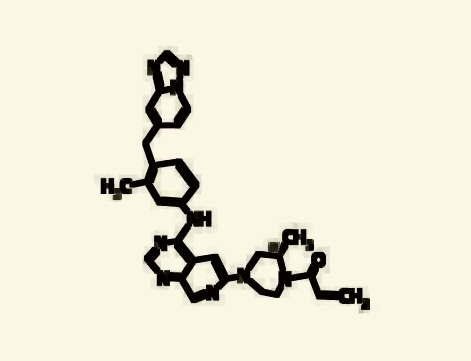 C=CC(=O)N1CCN(c2cc3c(Nc4ccc(Cc5ccn6ncnc6c5)c(C)c4)ncnc3cn2)C[C@H]1C